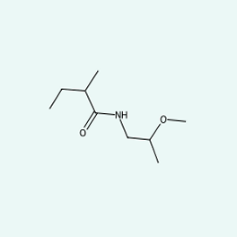 CCC(C)C(=O)NCC(C)OC